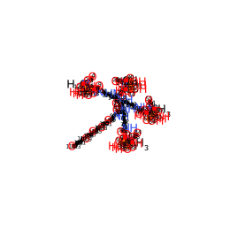 CN(OC=O)C(COC(=O)NCCCCC(NC(=O)OCC(N(C)OC=O)C(O)(P(=O)(O)O)P(=O)(O)O)C(=O)NC(CCCCNC(=O)OCC(N(C)OC=O)C(O)(P(=O)(O)O)P(=O)(O)O)C(=O)NC(CCCCNC(=O)OCC(N(C)OC=O)C(O)(P(=O)(O)O)P(=O)(O)O)C(=O)NCCOCCOCCOCCOCCCC=O)C(O)(P(=O)(O)O)P(=O)(O)O